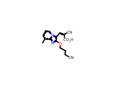 Cc1cccn2c(C=C(C#N)C(=O)O)c(OCCCC#N)nc12